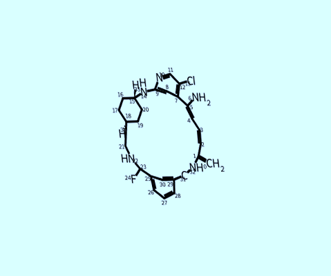 C=C1/C=C\C=C(/N)c2cc(ncc2Cl)N[C@H]2CC[C@@H](CC2)CNC(F)c2cccc(c2)CN1